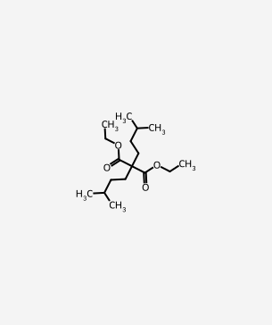 CCOC(=O)C(CCC(C)C)(CCC(C)C)C(=O)OCC